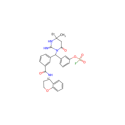 CCC1(C)CC(=O)N(C(c2cccc(OS(=O)(=O)F)c2)c2cccc(C(=O)N[C@H]3CCOc4ccccc43)c2)C(=N)N1